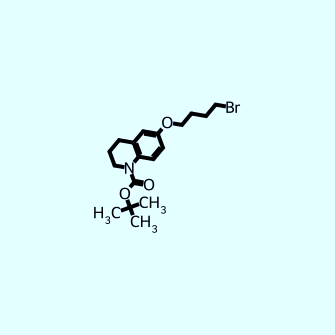 CC(C)(C)OC(=O)N1CCCc2cc(OCCCCBr)ccc21